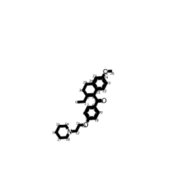 CCC1=C(C(=O)c2ccc(OCCN3CCCCC3)cc2)c2ccc(OC)cc2CC1